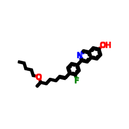 CCCCCOC(C)CCCC=Cc1ccc(-c2cc3ccc(O)cc3cn2)cc1F